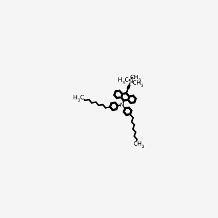 CCCCCCCCc1ccc(N(c2ccc(CCCCCCCC)cc2)c2c3ccccc3c(C#C[Si](C)(C)C)c3ccccc23)cc1